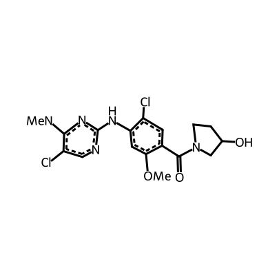 CNc1nc(Nc2cc(OC)c(C(=O)N3CCC(O)C3)cc2Cl)ncc1Cl